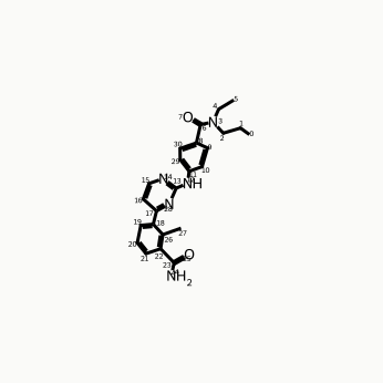 CCCN(CC)C(=O)c1ccc(Nc2nccc(-c3cccc(C(N)=O)c3C)n2)cc1